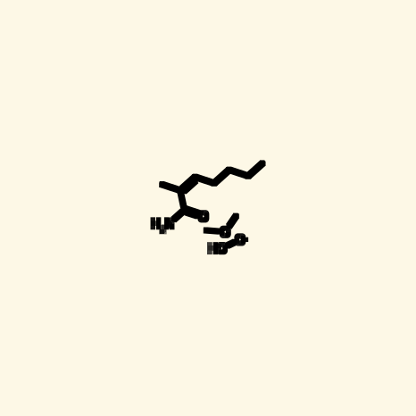 CCCCC=C(C)C(N)=O.COC.[O]O